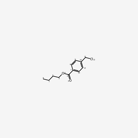 CCCCOC(=O)c1ccc(CCl)cc1